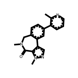 Cc1ncccc1-c1ccc2c(c1)-c1cnn(C)c1C(=O)N(C)C2